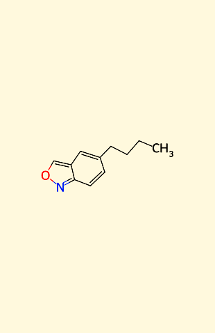 CCCCc1ccc2nocc2c1